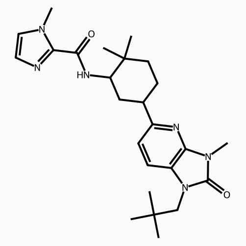 Cn1ccnc1C(=O)NC1CC(c2ccc3c(n2)n(C)c(=O)n3CC(C)(C)C)CCC1(C)C